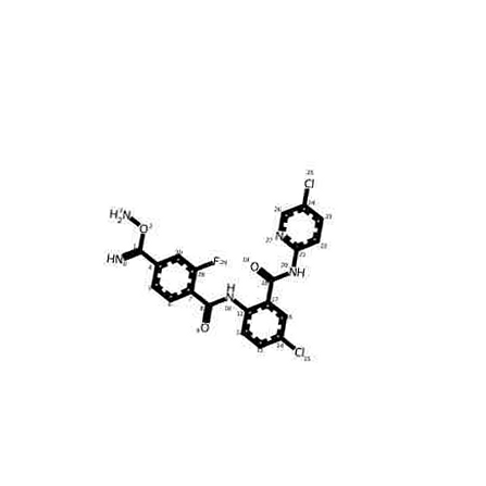 N=C(ON)c1ccc(C(=O)Nc2ccc(Cl)cc2C(=O)Nc2ccc(Cl)cn2)c(F)c1